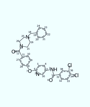 O=C(Nc1ccc(Oc2ccc(C(=O)N3CCN(Cc4ccccc4)CC3)cc2)nc1)c1ccc(Cl)c(Cl)c1